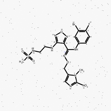 Cn1c(CO/N=C(\Nc2ccc(F)c(Br)c2)c2nonc2NCCNS(C)(=O)=O)cnc1[N+](=O)[O-]